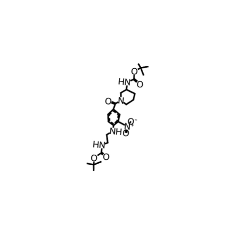 CC(C)(C)OC(=O)NCCNc1ccc(C(=O)N2CCCC(NC(=O)OC(C)(C)C)C2)cc1[N+](=O)[O-]